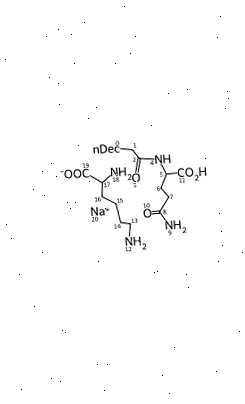 CCCCCCCCCCCC(=O)NC(CCC(N)=O)C(=O)O.NCCCCC(N)C(=O)[O-].[Na+]